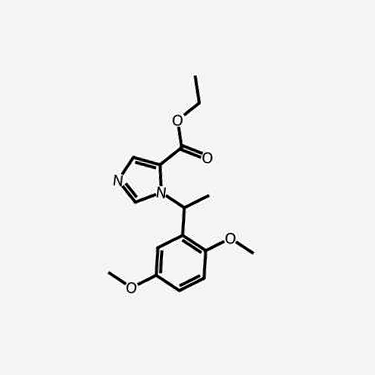 CCOC(=O)c1cncn1C(C)c1cc(OC)ccc1OC